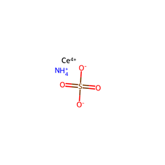 O=S(=O)([O-])[O-].[Ce+4].[NH4+]